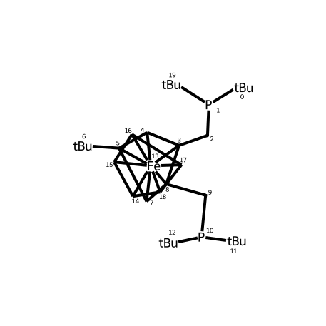 CC(C)(C)P(C[C]12[CH]3[C]4(C(C)(C)C)[CH]5[C]1(CP(C(C)(C)C)C(C)(C)C)[Fe]35241678[CH]2[CH]1[CH]6[CH]7[CH]28)C(C)(C)C